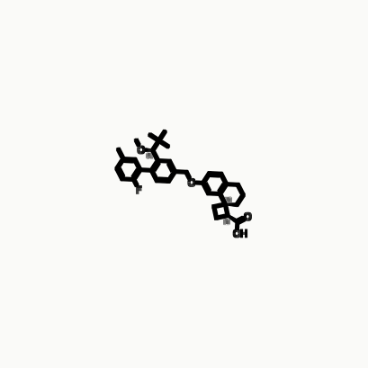 CO[C@H](c1cc(COc2ccc3c(c2)[C@@]2(CCC3)CC[C@@H]2C(=O)O)ccc1-c1cc(C)ccc1F)C(C)(C)C